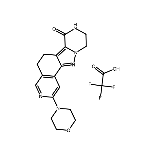 O=C(O)C(F)(F)F.O=C1NCCn2nc3c(c21)CCc1cnc(N2CCOCC2)cc1-3